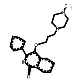 CN1CCN(CCCOc2c(-c3ccccc3)[nH]c(=O)c3ccccc23)CC1